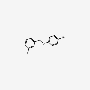 Fc1cccc(COc2ccc(Br)cc2)c1